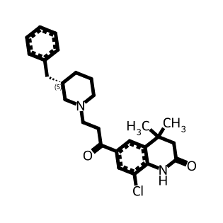 CC1(C)CC(=O)Nc2c(Cl)cc(C(=O)CCN3CCC[C@@H](Cc4ccccc4)C3)cc21